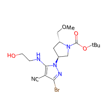 COC[C@H]1C[C@H](n2nc(Br)c(C#N)c2NCCO)CN1C(=O)OC(C)(C)C